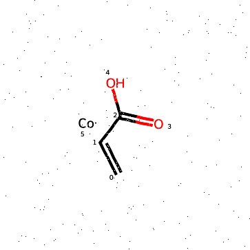 C=CC(=O)O.[Co]